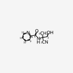 CC(C#N)(CO)NC(=O)c1ccccn1